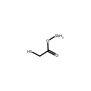 O=C(CS)[O][SbH2]